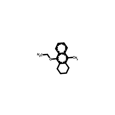 CCOc1c2c(c(C)c3ccccc13)CCCC2